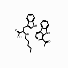 CC(=O)c1nccc2c1[nH]c1ccccc12.CCCCCNC(Cc1c[nH]c2ccccc12)C(=O)O